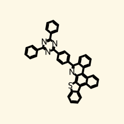 c1ccc(-c2nc(-c3ccccc3)nc(-c3ccc(-c4nc5c6sc7ccccc7c6c6ccccc6c5c5ccccc45)cc3)n2)cc1